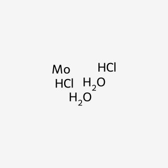 Cl.Cl.O.O.[Mo]